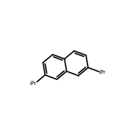 CC(C)c1[c]c2cc(C(C)C)ccc2cc1